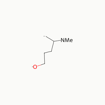 [CH2]C(CCC[O])NC